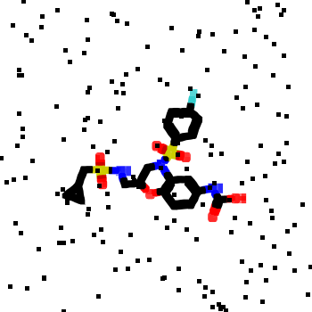 O=C(O)Nc1ccc2c(c1)N(S(=O)(=O)c1ccc(F)cc1)CC(CNS(=O)(=O)CC1CC1)O2